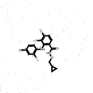 O=C(NOCC1CC1)c1ccc(F)c(F)c1Nc1ccc(Cl)cc1F